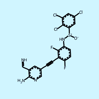 N=Cc1cc(C#Cc2c(F)ccc(N[S+]([O-])c3cc(Cl)cc(Cl)c3Cl)c2F)cnc1N